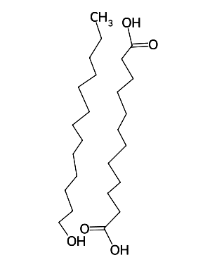 CCCCCCCCCCCCCO.O=C(O)CCCCCCCCCCC(=O)O